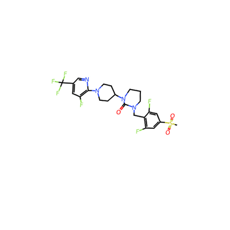 CS(=O)(=O)c1cc(F)c(CN2CCCN(C3CCN(c4ncc(C(F)(F)F)cc4F)CC3)C2=O)c(F)c1